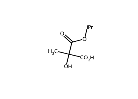 CC(C)OC(=O)C(C)(O)C(=O)O